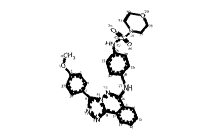 COc1ccc(-c2nnc3c4ccccc4c(Nc4ccc(NS(=O)(=O)N5CCOCC5)cc4)nn23)cc1